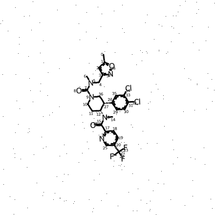 Cc1cc(CN(C)C(=O)N2CC[C@@H](N(C)C(=O)c3ccc(C(F)(F)F)cn3)[C@H](c3ccc(Cl)c(Cl)c3)C2)no1